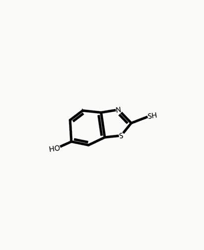 Oc1c[c]c2nc(S)sc2c1